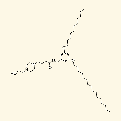 CCCCCCCCCCCCCCCCOc1cc(COC(=O)CCCN2CCN(CCO)CC2)cc(OCCCCCCCCCCC)c1